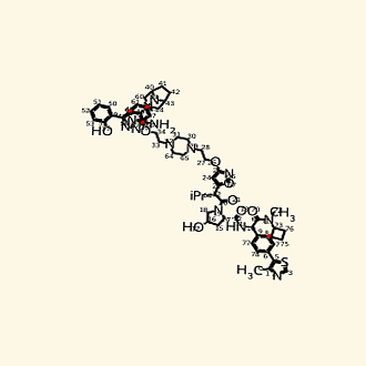 Cc1ncsc1-c1ccc([C@@H](NC(=O)[C@@H]2C[C@@H](O)CN2C(=O)[C@H](c2cc(OCCN3CCN(CCOc4cc(N5C6CCC5CN(c5cc(-c7ccccc7O)nnc5N)C6)ccn4)CC3)no2)C(C)C)C(=O)N(C)C2CCC2)cc1